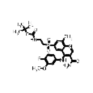 COc1cc(Nc2c(C(N)=O)cnc3c(C)cc(S(=O)(=O)CCNC(=O)OC(C)(C)C)cc23)ccc1F